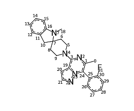 Cc1nc(N2CCC3(CC2)Cc2ccccc2N3C)c2ccnn2c1-c1ccccc1F